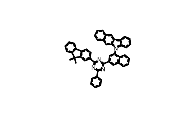 CC1(C)c2ccccc2-c2ccc(-c3nc(-c4ccccc4)nc(-c4cc(-n5c6ccccc6c6cc7ccccc7cc65)c5ccccc5c4)n3)cc21